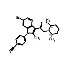 Cc1c(C(=O)CN2[C@@H](C)CCC[C@@H]2C)c2ncc(Br)cc2n1-c1ccc(C#N)cc1